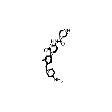 Cc1cc(-n2ccc(NC(=O)N3CCNCC3)nc2=O)ccc1CN1CCC(N)CC1